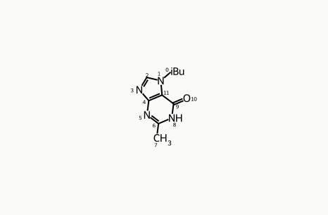 CCC(C)n1cnc2nc(C)[nH]c(=O)c21